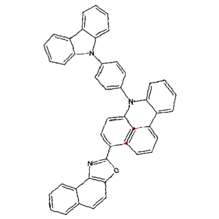 c1ccc(-c2ccccc2N(c2ccc(-c3nc4c(ccc5ccccc54)o3)cc2)c2ccc(-n3c4ccccc4c4ccccc43)cc2)cc1